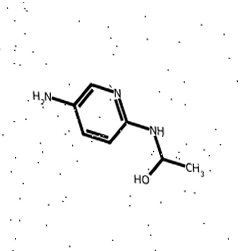 CC(O)Nc1ccc(N)cn1